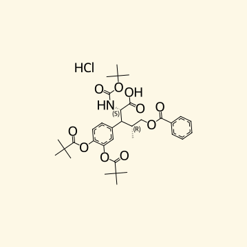 C[C@@H](COC(=O)c1ccccc1)C(c1ccc(OC(=O)C(C)(C)C)c(OC(=O)C(C)(C)C)c1)[C@H](NC(=O)OC(C)(C)C)C(=O)O.Cl